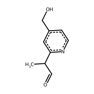 CC(C=O)c1cc(CO)ccn1